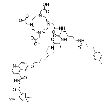 Cc1ccc(CCCC(=O)NCCCC[C@H](NC(=O)CN2CCN(CC(=O)O)CCN(CC(=O)O)CCN(CC(=O)O)CC2)C(=O)N[C@@H](C)C(=O)N2CCC(CCCCOc3ccc4nccc(C(=O)NCC(=O)N5CC(F)(F)C[C@@H]5C#N)c4c3)CC2)cc1